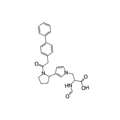 O=CNC(Cn1ccc(C2CCCN2C(=O)Cc2ccc(-c3ccccc3)cc2)c1)C(=O)O